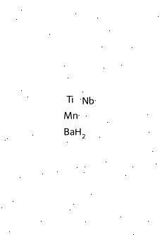 [BaH2].[Mn].[Nb].[Ti]